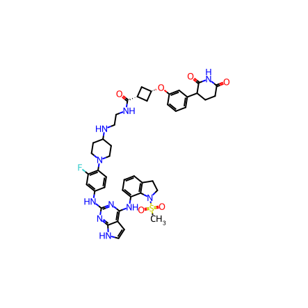 CS(=O)(=O)N1CCc2cccc(Nc3nc(Nc4ccc(N5CCC(NCCNC(=O)[C@H]6C[C@@H](Oc7cccc(C8CCC(=O)NC8=O)c7)C6)CC5)c(F)c4)nc4[nH]ccc34)c21